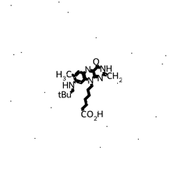 C=c1nc2c(c(=O)[nH]1)=Nc1cc(C)c(NCC(C)(C)C)cc1N2CCCCCCC(=O)O